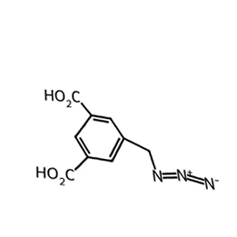 [N-]=[N+]=NCc1cc(C(=O)O)cc(C(=O)O)c1